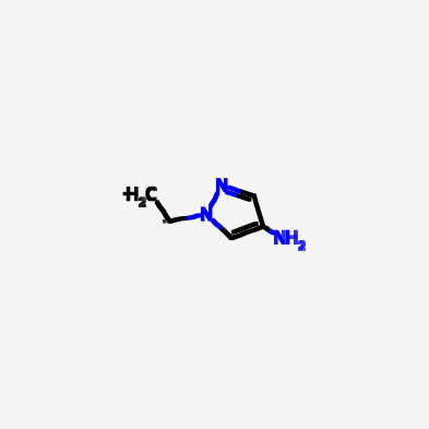 [CH2][CH]n1cc(N)cn1